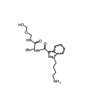 CC(C)(C)C(NC(=O)c1nn(CCCCN)c2ccccc12)C(=O)NCOCO